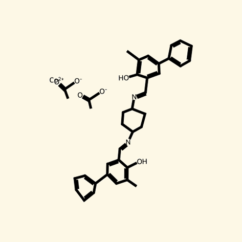 CC(=O)[O-].CC(=O)[O-].Cc1cc(-c2ccccc2)cc(C=NC2CCC(N=Cc3cc(-c4ccccc4)cc(C)c3O)CC2)c1O.[Co+2]